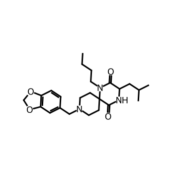 CCCCN1C(=O)C(CC(C)C)NC(=O)C12CCN(Cc1ccc3c(c1)OCO3)CC2